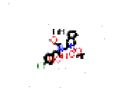 COCCN(CC1Cc2ccccc2CN1C(=O)OC(C)(C)C)C(Cc1ccc(Cl)cc1)C(=O)O.[LiH]